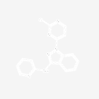 Clc1nccc(-n2nc(Nc3ccccn3)c3ccccc32)n1